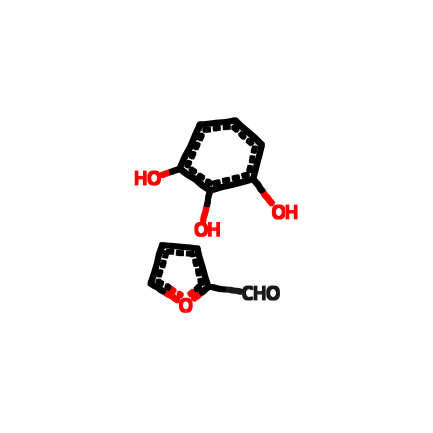 O=Cc1ccco1.Oc1cccc(O)c1O